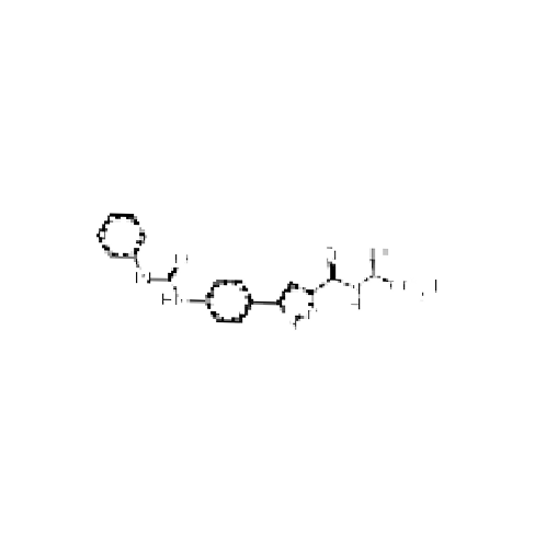 CCC(C)[C@H](NC(=O)c1cc(-c2ccc(NC(=O)Nc3ccccc3)cc2)no1)C(=O)O